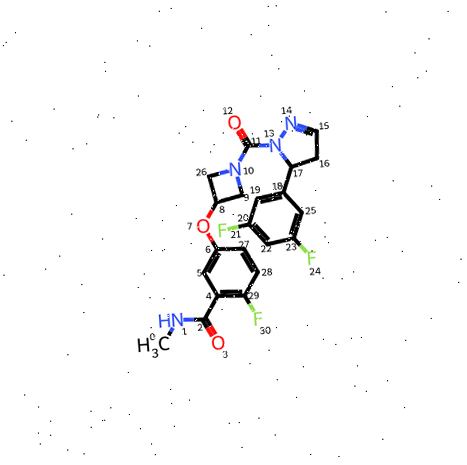 CNC(=O)c1cc(OC2CN(C(=O)N3N=CCC3c3cc(F)cc(F)c3)C2)ccc1F